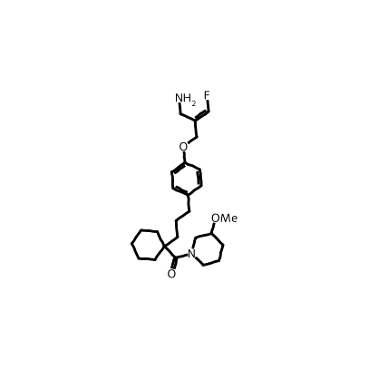 COC1CCCN(C(=O)C2(CCCc3ccc(OC/C(=C/F)CN)cc3)CCCCC2)C1